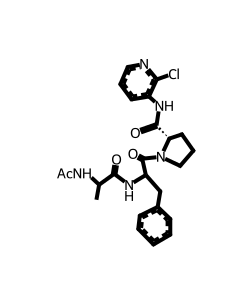 CC(=O)NC(C)C(=O)NC(Cc1ccccc1)C(=O)N1CCC[C@H]1C(=O)Nc1cccnc1Cl